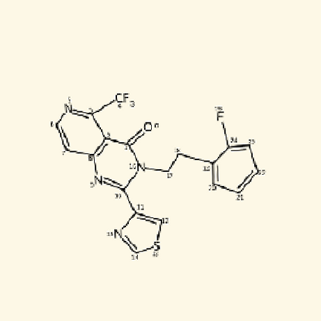 O=c1c2c(C(F)(F)F)nccc2nc(-c2cscn2)n1CCc1ccccc1F